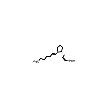 CCCCC/C=C\C[C@H]1CCC[C@@H]1/C=C/CCCCOC